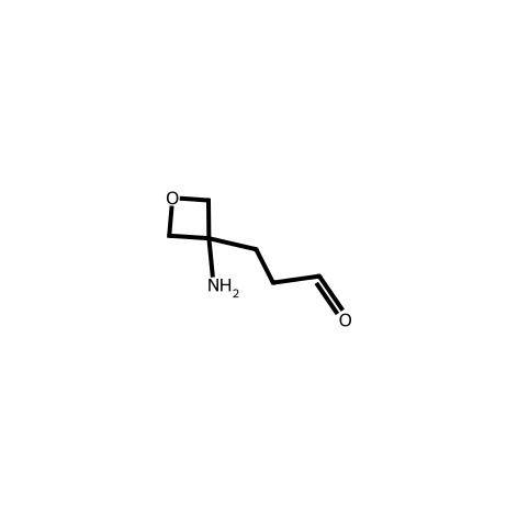 NC1(CCC=O)COC1